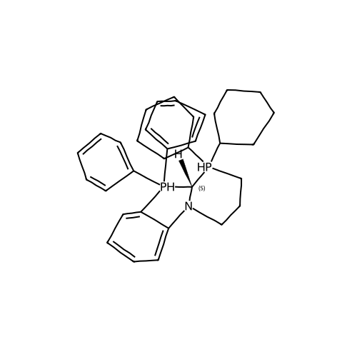 c1ccc([PH]2(c3ccccc3)c3ccccc3N3CCC[PH](C4CCCCC4)(C4CCCCC4)[C@H]32)cc1